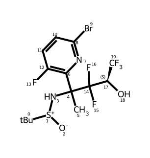 CC(C)(C)[S+]([O-])NC(C)(c1nc(Br)ccc1F)C(F)(F)[C@H](O)C(F)(F)F